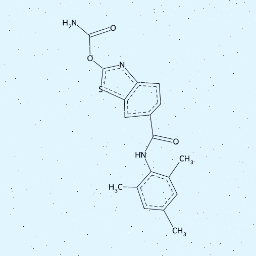 Cc1cc(C)c(NC(=O)c2ccc3nc(OC(N)=O)sc3c2)c(C)c1